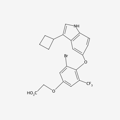 O=C(O)COc1cc(Br)c(Oc2ccc3[nH]cc(C4CCC4)c3c2)c(C(F)(F)F)c1